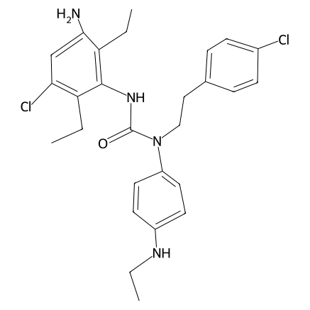 CCNc1ccc(N(CCc2ccc(Cl)cc2)C(=O)Nc2c(CC)c(N)cc(Cl)c2CC)cc1